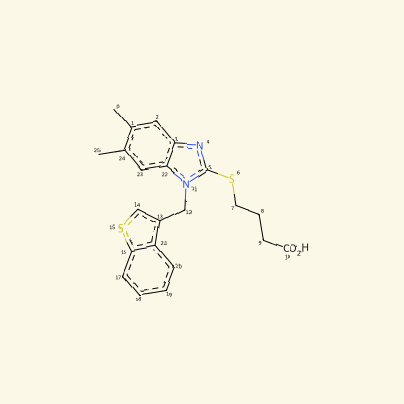 Cc1cc2nc(SCCCC(=O)O)n(Cc3csc4ccccc34)c2cc1C